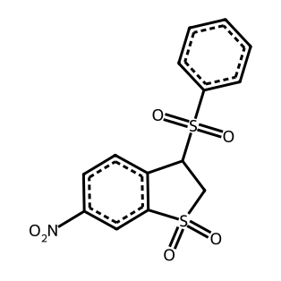 O=[N+]([O-])c1ccc2c(c1)S(=O)(=O)CC2S(=O)(=O)c1ccccc1